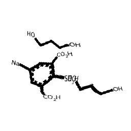 O=C(O)c1c[c]([Na])cc(C(=O)O)c1S(=O)(=O)O.OCCCO.OCCCO